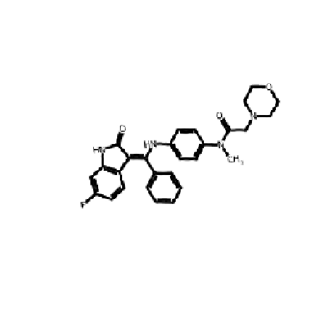 CN(C(=O)CN1CCOCC1)c1ccc(N/C(=C2\C(=O)Nc3cc(F)ccc32)c2ccccc2)cc1